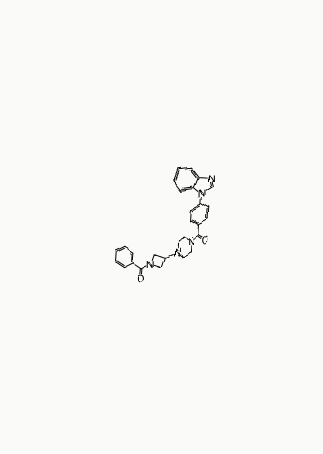 O=C(c1ccc(-n2cnc3ccccc32)cc1)N1CCN(C2CN(C(=O)c3ccccc3)C2)CC1